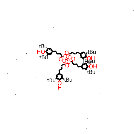 CC(C)(C)c1cc(CCCC(=O)OC(OC(=O)CCCc2cc(C(C)(C)C)c(O)c(C(C)(C)C)c2)(OC(=O)CCCc2cc(C(C)(C)C)c(O)c(C(C)(C)C)c2)OC(=O)CCCc2cc(C(C)(C)C)c(O)c(C(C)(C)C)c2)cc(C(C)(C)C)c1O